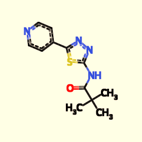 CC(C)(C)C(=O)Nc1nnc(-c2ccncc2)s1